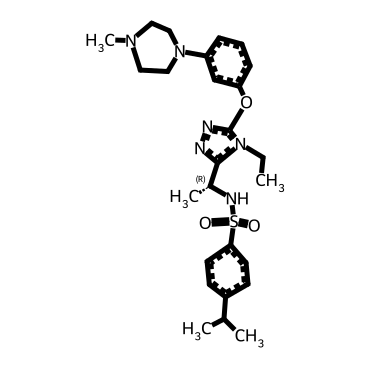 CCn1c(Oc2cccc(N3CCN(C)CC3)c2)nnc1[C@@H](C)NS(=O)(=O)c1ccc(C(C)C)cc1